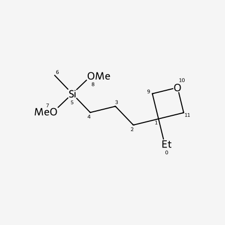 CCC1(CCC[Si](C)(OC)OC)COC1